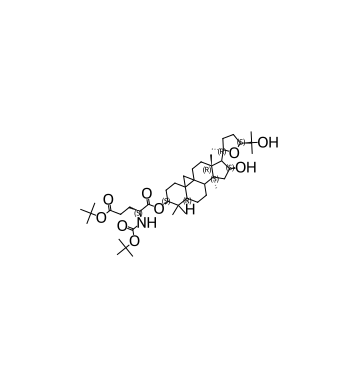 CC(C)(C)OC(=O)CC[C@H](NC(=O)OC(C)(C)C)C(=O)O[C@H]1CCC23CC24CC[C@]2(C)C([C@@]5(C)CC[C@@H](C(C)(C)O)O5)[C@@H](O)C[C@@]2(C)C4CC[C@H]3C1(C)C